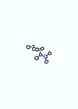 c1ccc(-c2cc(-c3nc(-c4ccccc4)cc(-c4ccccc4)n3)cc(-n3c4ccccc4c4cc5c(ccc6c5ccn6-c5ccccc5)cc43)c2)cc1